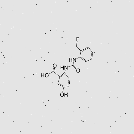 O=C(Nc1ccccc1CF)Nc1ccc(O)cc1C(=O)O